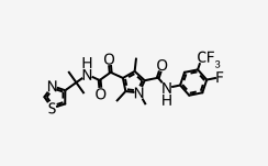 Cc1c(C(=O)C(=O)NC(C)(C)c2cscn2)c(C)n(C)c1C(=O)Nc1ccc(F)c(C(F)(F)F)c1